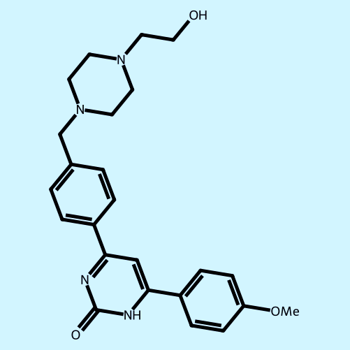 COc1ccc(-c2cc(-c3ccc(CN4CCN(CCO)CC4)cc3)nc(=O)[nH]2)cc1